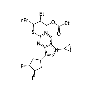 CCCC(Sc1ncc2c(n1)c(C1C[C@@H](F)[C@H](F)C1)cn2C1CC1)C(CC)COC(=O)CC